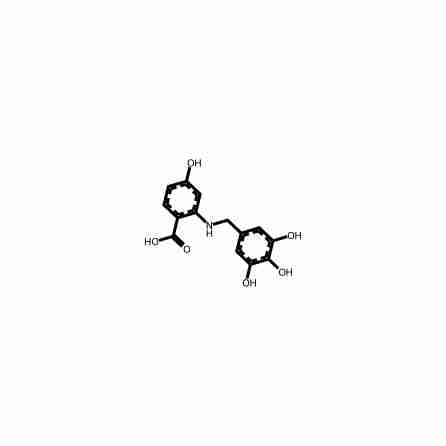 O=C(O)c1ccc(O)cc1NCc1cc(O)c(O)c(O)c1